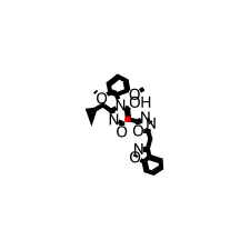 COc1cccc(OC)c1N(/C(CC1CC1)=N\C=O)/C(O)=C(\C)c1nnc(Cc2noc3ccccc23)o1